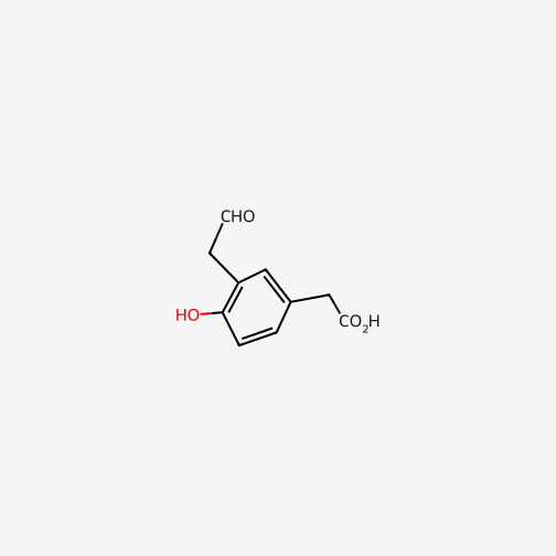 O=CCc1cc(CC(=O)O)ccc1O